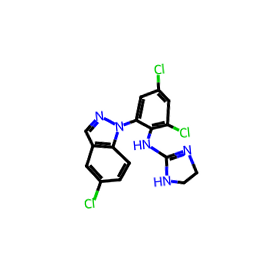 Clc1cc(Cl)c(NC2=NCCN2)c(-n2ncc3cc(Cl)ccc32)c1